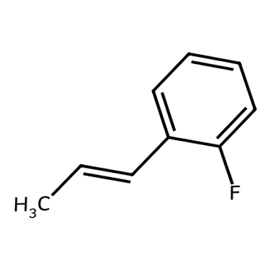 CC=Cc1ccccc1F